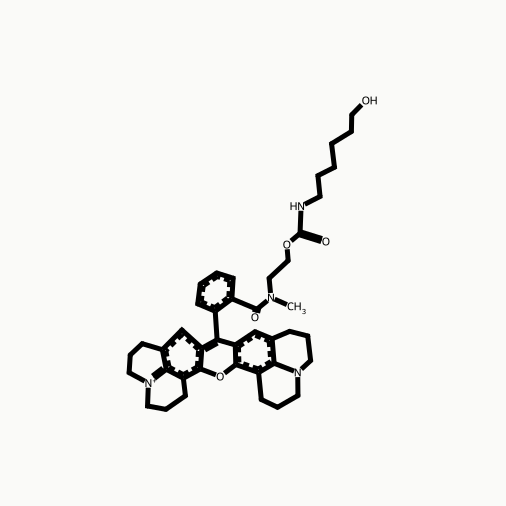 CN(CCOC(=O)NCCCCCCO)C(=O)c1ccccc1C1=c2cc3c4c(c2Oc2c1cc1c5c2CCCN5CCC1)CCC[N+]=4CCC3